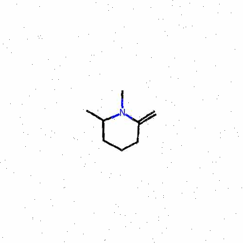 C=C1CCCC(C)N1C